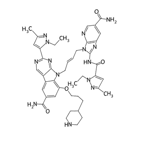 CCn1nc(C)cc1C(=O)Nc1nc2cc(C(N)=O)cnc2n1C/C=C/Cn1c2nc(-c3cc(C)nn3CC)ncc2c2cc(C(N)=O)cc(OCCCC3CCNCC3)c21